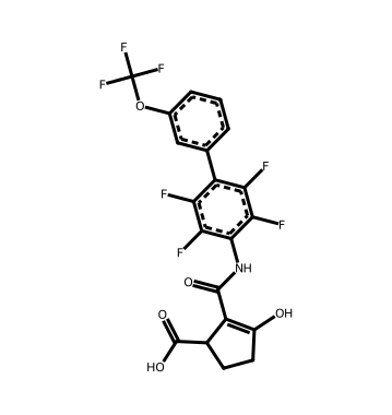 O=C(Nc1c(F)c(F)c(-c2cccc(OC(F)(F)F)c2)c(F)c1F)C1=C(O)CCC1C(=O)O